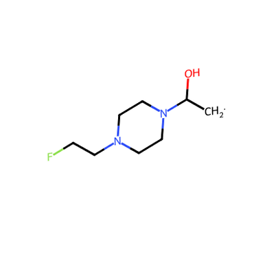 [CH2]C(O)N1CCN(CCF)CC1